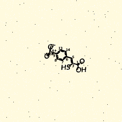 O=C(O)C(S)=Cc1ccc([N+](=O)[O-])cc1